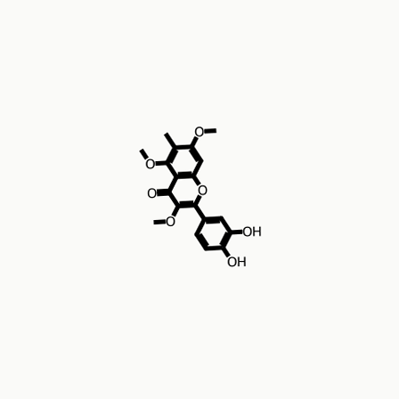 COc1cc2oc(-c3ccc(O)c(O)c3)c(OC)c(=O)c2c(OC)c1C